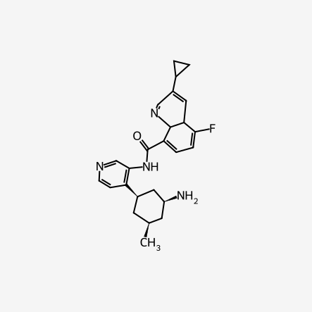 C[C@@H]1C[C@H](N)C[C@H](c2ccncc2NC(=O)C2=CC=C(F)C3C=C(C4CC4)C=NC23)C1